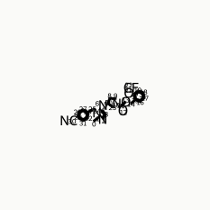 Cc1ncc(N(C)[C@@H]2CCN(C(=O)OCc3ccccc3OC(F)(F)F)C2)n1Cc1ccc(C#N)cc1